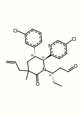 C=CCC1(C)C[C@H](c2cccc(Cl)c2)[C@@H](c2ccc(Cl)cn2)N([C@@H](CC)CC=O)C1=O